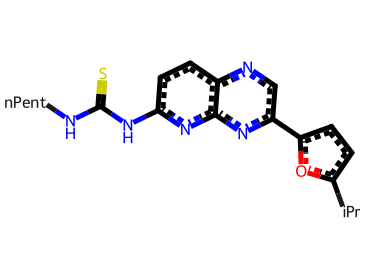 CCCCCNC(=S)Nc1ccc2ncc(-c3ccc(C(C)C)o3)nc2n1